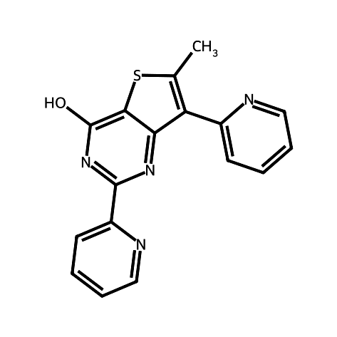 Cc1sc2c(O)nc(-c3ccccn3)nc2c1-c1ccccn1